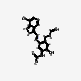 [C-]#[N+]c1cncc2c(/N=N/c3cc(NC(=O)CC)c(O)cc3COC=N)snc12